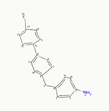 Nc1ccc(Cc2ccc(-c3ccc(F)cc3)cc2)cc1